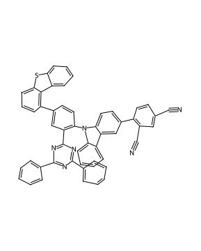 N#Cc1ccc(-c2ccc3c(c2)c2ccccc2n3-c2ccc(-c3cccc4sc5ccccc5c34)cc2-c2nc(-c3ccccc3)nc(-c3ccccc3)n2)c(C#N)c1